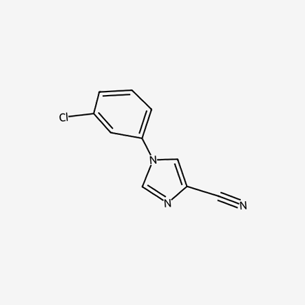 N#Cc1cn(-c2cccc(Cl)c2)cn1